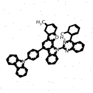 CC1C=Cc2oc3c(cc(-c4ccc(-n5c6ccccc6c6ccccc65)cc4)c4c5ccccc5n(-c5nc(C6=CC=CCC6C)c6ccccc6n5)c34)c2C1